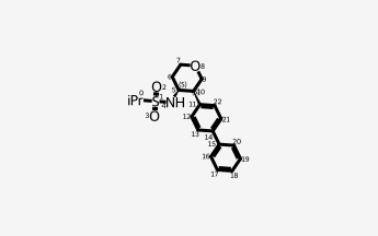 CC(C)S(=O)(=O)N[C@H]1CCOC[C@H]1c1ccc(-c2ccccc2)cc1